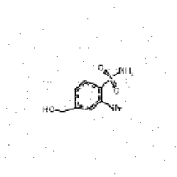 CC(C)c1cc(CO)ccc1S(N)(=O)=O